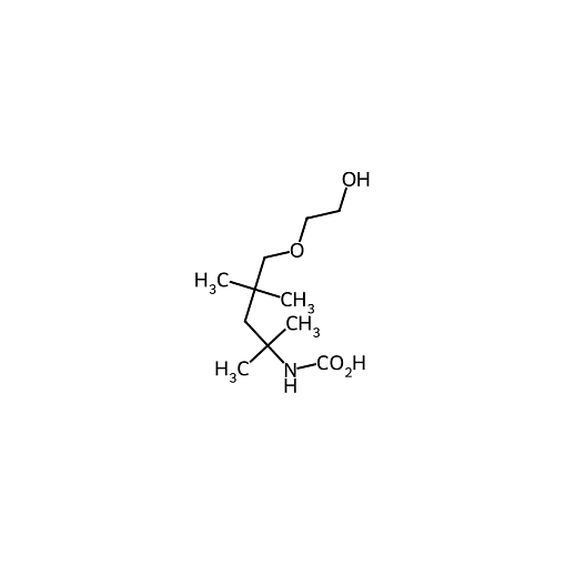 CC(C)(COCCO)CC(C)(C)NC(=O)O